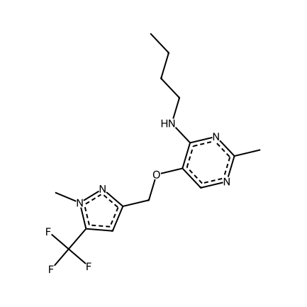 CCCCNc1nc(C)ncc1OCc1cc(C(F)(F)F)n(C)n1